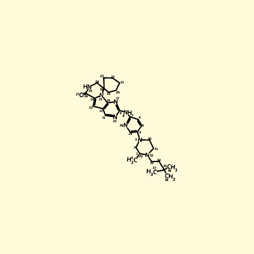 C[C@H]1CN(c2ccc(Nc3ncc4cc5n(c4n3)C3(CCCCC3)CNC5=O)nc2)CCN1CCC(C)(C)C